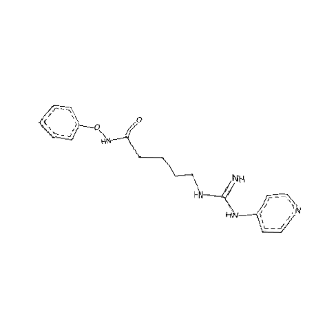 N=C(NCCCCC(=O)NOc1ccccc1)Nc1ccncc1